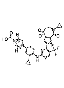 O=C1c2sc(-c3nc(Nc4ccc(N5C[C@@H]6C[C@H]5CN6C(=O)O)cc4C4CC4)ncc3C(F)(F)F)cc2S(=O)(=O)CCN1C1CC1